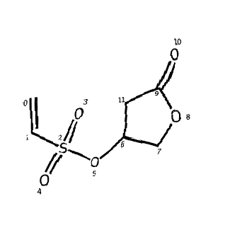 C=CS(=O)(=O)OC1COC(=O)C1